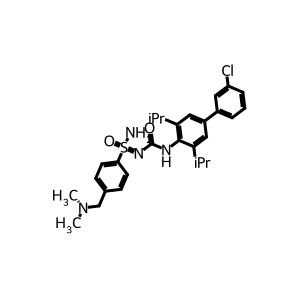 CC(C)c1cc(-c2cccc(Cl)c2)cc(C(C)C)c1NC(=O)N=S(N)(=O)c1ccc(CN(C)C)cc1